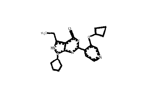 CCc1[nH]n(C2CCCC2)c2nc(-c3ccncc3OC3CCC3)nc(=O)c1-2